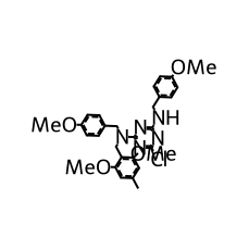 COc1ccc(CNc2nc(Cl)nc(N(Cc3ccc(OC)cc3)Cc3c(OC)cc(C)cc3OC)n2)cc1